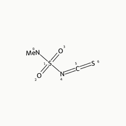 CNS(=O)(=O)N=C=S